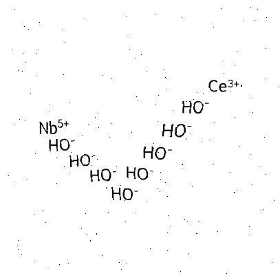 [Ce+3].[Nb+5].[OH-].[OH-].[OH-].[OH-].[OH-].[OH-].[OH-].[OH-]